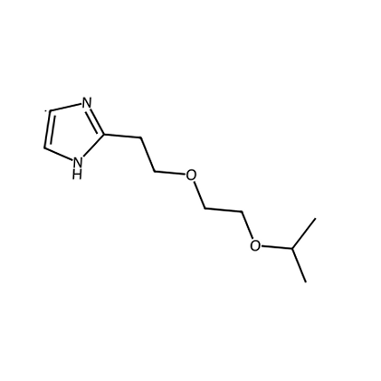 CC(C)OCCOCCc1n[c]c[nH]1